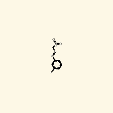 O=[SH](=O)CN=Nc1cccc(F)c1